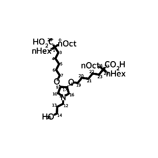 CCCCCCCCC(CCCCCC)(CCCCCO[C@H]1CN(CCCO)C[C@H]1OCCCCCC(CCCCCC)(CCCCCCCC)C(=O)O)C(=O)O